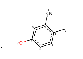 Cc1ccc([O])cc1C#N